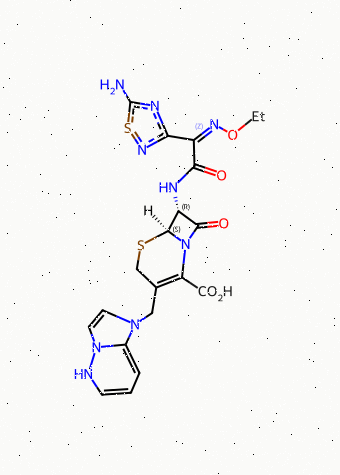 CCO/N=C(\C(=O)N[C@@H]1C(=O)N2C(C(=O)O)=C(CN3C=CN4NC=CC=C34)CS[C@@H]12)c1nsc(N)n1